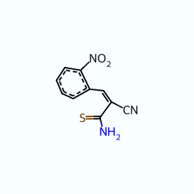 N#CC(=Cc1ccccc1[N+](=O)[O-])C(N)=S